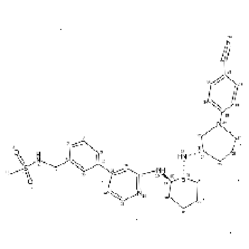 CS(=O)(=O)NCc1cccc(-c2ccnc(N[C@@H]3CCCC[C@H]3N[C@H]3CCCN(c4ccc(C#N)cc4)C3)c2)c1